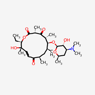 CC[C@H]1OC(=O)[C@H](C)C(=O)[C@H](C)[C@@H](O[C@@H]2O[C@H](C)C[C@H](N(C)C)[C@H]2O)[C@@H](C)C[C@@H](C)C(=O)/C=C/[C@]1(C)O